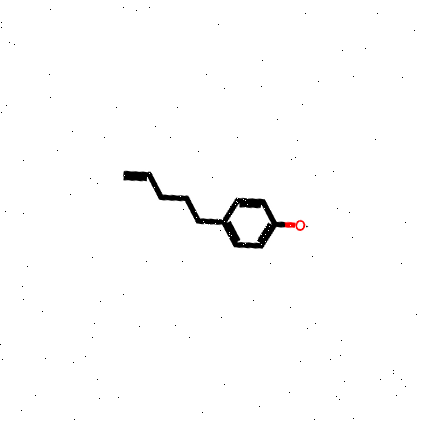 C=CCCCc1ccc([O])cc1